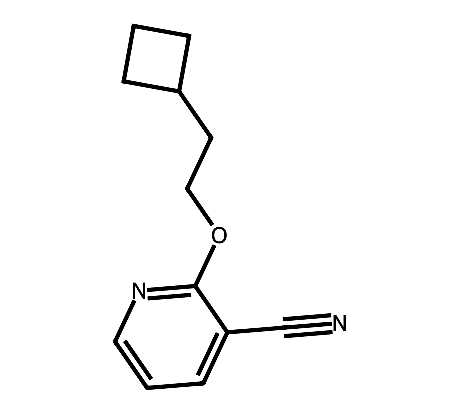 N#Cc1cccnc1OCCC1CCC1